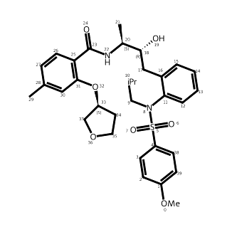 COc1ccc(S(=O)(=O)N(CC(C)C)c2ccccc2C[C@@H](O)[C@H](C)NC(=O)c2ccc(C)cc2O[C@H]2CCOC2)cc1